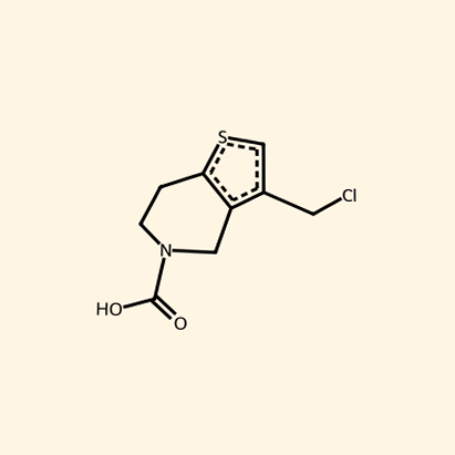 O=C(O)N1CCc2scc(CCl)c2C1